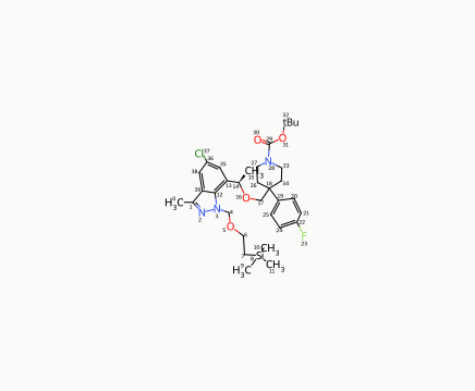 Cc1nn(COCC[Si](C)(C)C)c2c([C@@H](C)OCC3(c4ccc(F)cc4)CCN(C(=O)OC(C)(C)C)CC3)cc(Cl)cc12